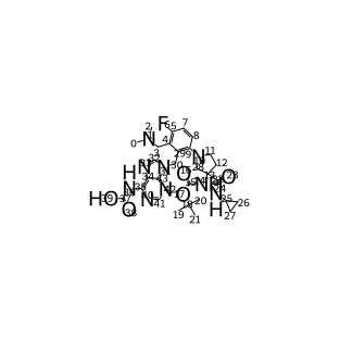 CN(C)Cc1c(F)ccc(N2CCC(NC(=O)OC(C)(C)C)(C(=O)NC3CC3)C2)c1Cn1cnc2c(NC(=O)O)ncnc21